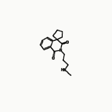 CNCCCN1C(=O)c2ccccc2C2(CCCC2)C1=O